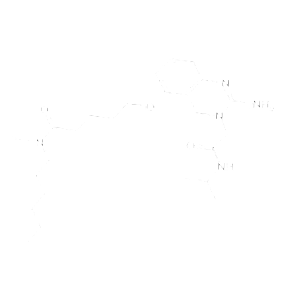 CCCCCCN(C)C(=O)CCCCOc1cccc2c1CN(CC(=O)NC(C)C)C(N)=N2